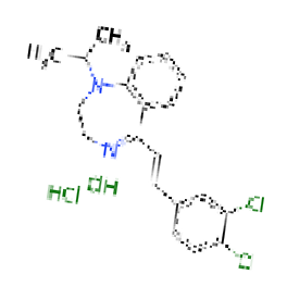 CC(C)N1CCN=C(/C=C/c2ccc(Cl)c(Cl)c2)c2ccccc21.Cl.Cl